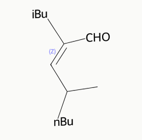 CCCCC(C)/C=C(\C=O)C(C)CC